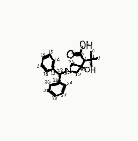 CC(C)(C)C(C(=O)O)C1(O)CN(C(c2ccccc2)c2ccccc2)C1